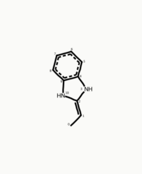 CC=C1Nc2ccccc2N1